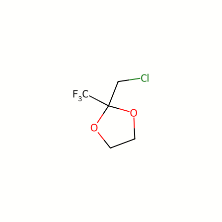 FC(F)(F)C1(CCl)OCCO1